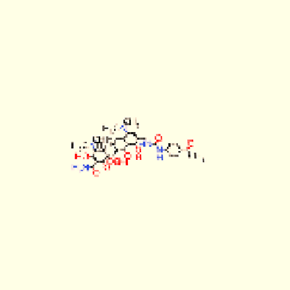 CC(=O)c1ccc(NC(=O)NCc2cc(N(C)C)c3c(c2O)C(=O)C2=C(O)[C@]4(O)C(=O)C(C(N)=O)=C(O)[C@@H](N(C)C)[C@@H]4C[C@@H]2C3)cc1